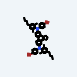 CCCCc1cc(C)c(N(c2ccc(Br)cc2)c2ccc3c(c2)[C@]24CCC[C@]2(CCC4)c2cc(N(c4ccc(Br)cc4)c4c(C)cc(CCCC)cc4C)ccc2-3)c(C)c1